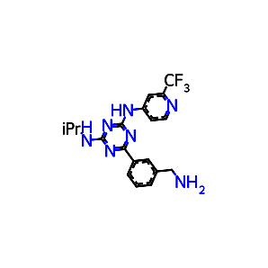 CC(C)Nc1nc(Nc2ccnc(C(F)(F)F)c2)nc(-c2cccc(CN)c2)n1